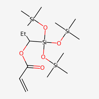 C=CC(=O)OC(CC)[Si](O[Si](C)(C)C)(O[Si](C)(C)C)O[Si](C)(C)C